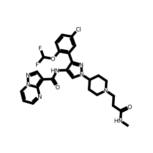 CNC(=O)CCN1CCC(n2cc(NC(=O)c3cnn4cccnc34)c(-c3cc(Cl)ccc3OC(F)F)n2)CC1